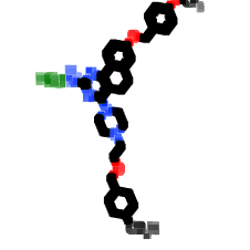 Cl.Cl.Nc1nc2c(c(N3CCN(CCOCC4CCC(C(=O)O)CC4)CC3)n1)CCc1cc(OCc3ccc(OC(F)(F)F)cc3)ccc1-2